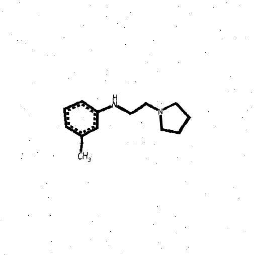 Cc1cccc(NCCN2CCCC2)c1